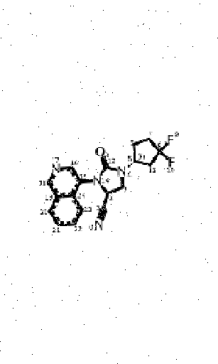 N#CC1CN([C@@H]2CCC(F)(F)C2)C(=O)N1c1cncc2ccccc12